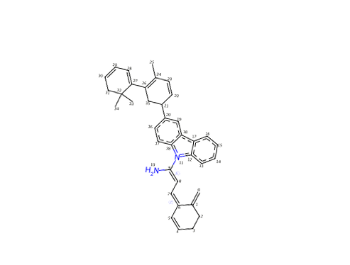 C=C1CCC=C/C1=C/C=C(\N)n1c2ccccc2c2cc(C3C=CC(C)=C(C4=CC=CCC4(C)C)C3)ccc21